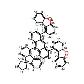 c1ccc2c(c1)-c1c(-c3c4cccc(-c5cccc6oc7ccccc7c56)c4cc4c(-c5cccc6oc7ccccc7c56)cccc34)cccc1C21CCCC1